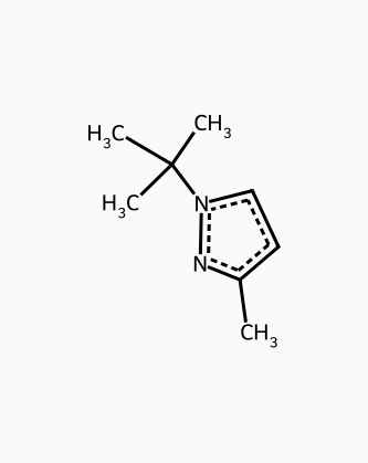 Cc1ccn(C(C)(C)C)n1